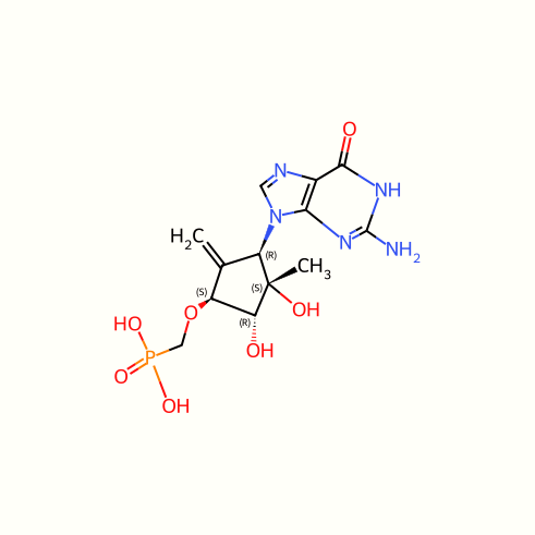 C=C1[C@H](OCP(=O)(O)O)[C@@H](O)[C@@](C)(O)[C@@H]1n1cnc2c(=O)[nH]c(N)nc21